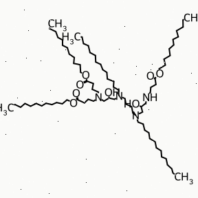 CCCCCCCCCCCCCCN(CCCCN(CCCCCCCCCCCCCC)CC(O)CN(CCCC(=O)OCCCCCCCCCCCC)CCCC(=O)OCCCCCCCCCCCC)CC(O)CNCCCC(=O)OCCCCCCCCCCCC